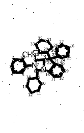 Cc1ccccc1N1C(C2CCCCC2)N2c3ccccc3C(c3ccccc3)(C3CCCCC3)C2[C@@H]1C